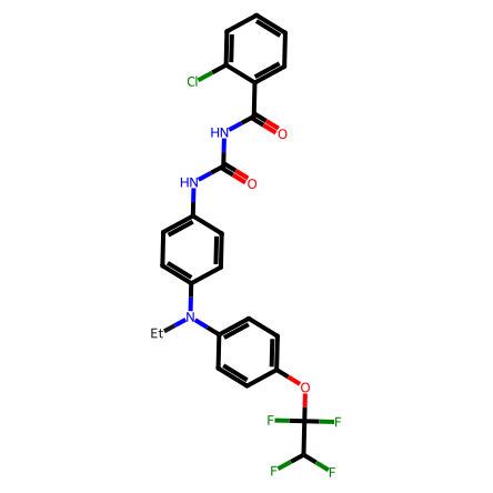 CCN(c1ccc(NC(=O)NC(=O)c2ccccc2Cl)cc1)c1ccc(OC(F)(F)C(F)F)cc1